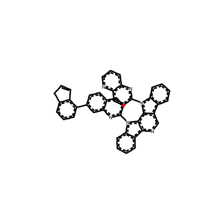 C1=Cc2c(cccc2-c2ccc3ccc(-n4c5ccccc5c5ncc6c7ccccc7n(-c7ccc8ncccc8n7)c6c54)nc3c2)C1